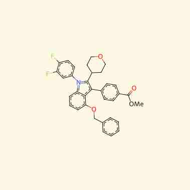 COC(=O)c1ccc(-c2c(C3CCOCC3)n(-c3ccc(F)c(F)c3)c3cccc(OCc4ccccc4)c23)cc1